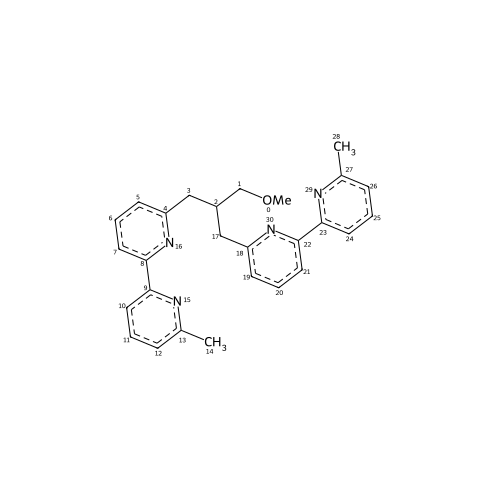 COCC(Cc1cccc(-c2cccc(C)n2)n1)Cc1cccc(-c2cccc(C)n2)n1